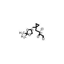 CC1(C)OC[C@@H](CC2(C[C@H](Cl)C(=O)C=O)CC2)O1